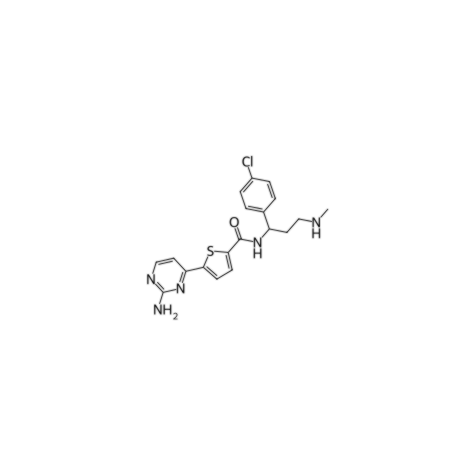 CNCCC(NC(=O)c1ccc(-c2ccnc(N)n2)s1)c1ccc(Cl)cc1